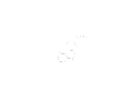 C=C(C(=O)O)/C(=N\c1oc2ncc(C3CCCC3)cc2c(=O)c1C)NC